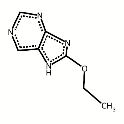 CCOc1nc2ncncc2[nH]1